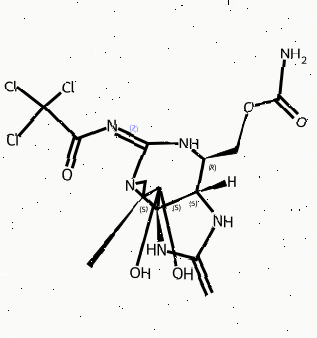 C=C1N[C@H]2[C@H](COC(N)=O)N/C(=N/C(=O)C(Cl)(Cl)Cl)N3C[C@H](C)C(O)(O)[C@]23N1